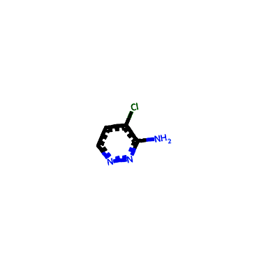 Nc1nnccc1Cl